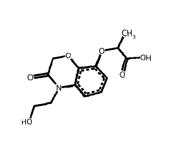 CC(Oc1cccc2c1OCC(=O)N2CCO)C(=O)O